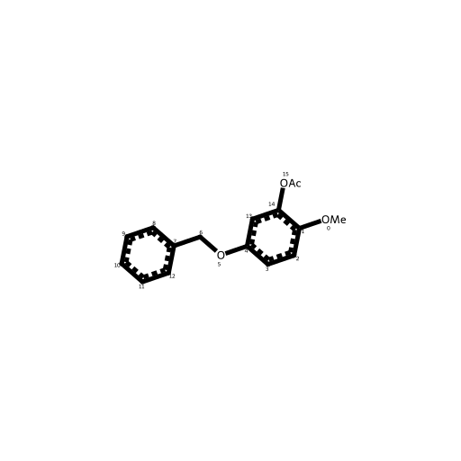 COc1ccc(OCc2ccccc2)cc1OC(C)=O